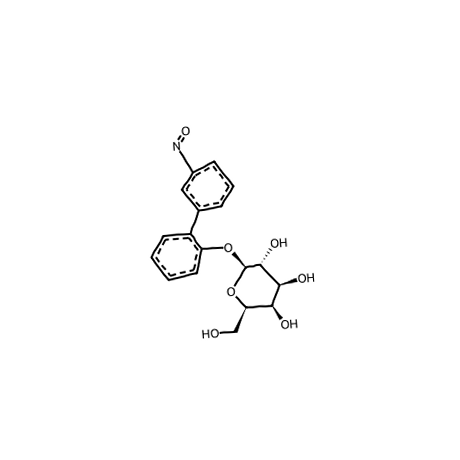 O=Nc1cccc(-c2ccccc2O[C@@H]2O[C@H](CO)[C@H](O)[C@H](O)[C@H]2O)c1